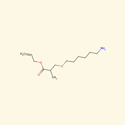 C=CCOC(=O)C(C)CSCCCCCCN